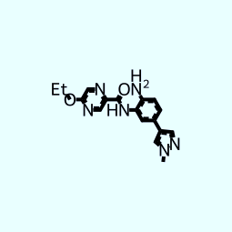 CCOc1cnc(C(=O)Nc2cc(-c3cnn(C)c3)ccc2N)cn1